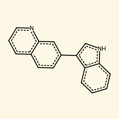 c1cnc2cc(-c3c[nH]c4ccccc34)ccc2c1